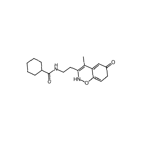 CC1=C(CCNC(=O)C2CCCCC2)NOC2=CCC(=O)C=C21